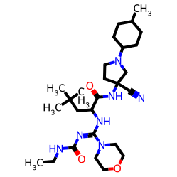 CCNC(=O)N=C(NC(CC(C)(C)C)C(=O)NC1(C#N)CCN(C2CCC(C)CC2)C1)N1CCOCC1